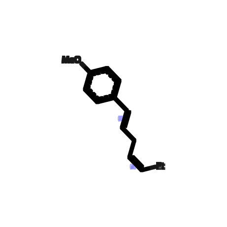 CC/C=C\C/C=C/c1ccc(OC)cc1